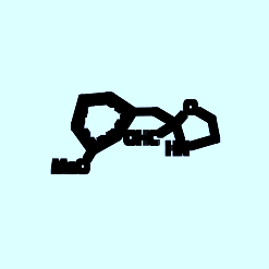 COc1cccc(CC2(C=O)NCCO2)c1